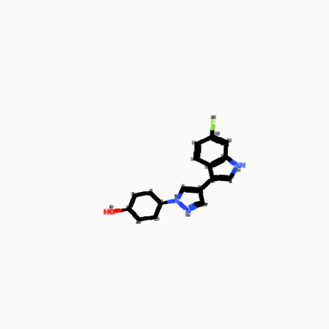 O[C@H]1CC[C@@H](n2cc(-c3c[nH]c4cc(F)ccc34)cn2)CC1